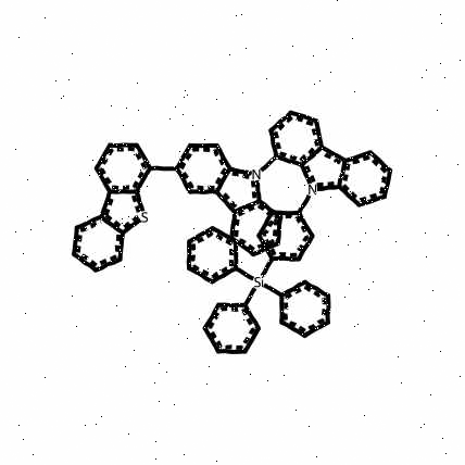 c1ccc([Si](c2ccccc2)(c2ccccc2)c2ccc(-n3c4ccccc4c4cccc(-n5c6ccccc6c6cc(-c7cccc8c7sc7ccccc78)ccc65)c43)cc2)cc1